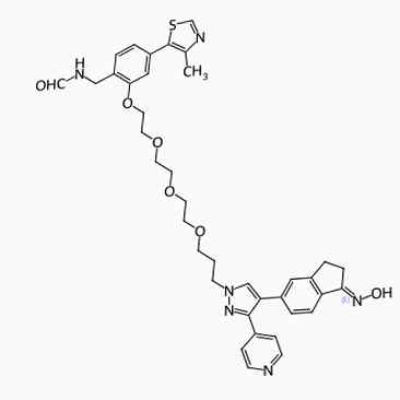 Cc1ncsc1-c1ccc(CNC=O)c(OCCOCCOCCOCCCn2cc(-c3ccc4c(c3)CC/C4=N\O)c(-c3ccncc3)n2)c1